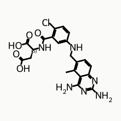 Cc1c(CNc2ccc(Cl)c(C(=O)N[C@@H](CC(=O)O)C(=O)O)c2)ccc2nc(N)nc(N)c12